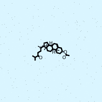 CC(=O)O[C@H]1CC[C@@]2(C)C(=CC[C@H]3[C@@H]4CC[C@H]([C@H](C)CCC(=O)C(C)C)[C@@]4(C)CC[C@@H]32)C1